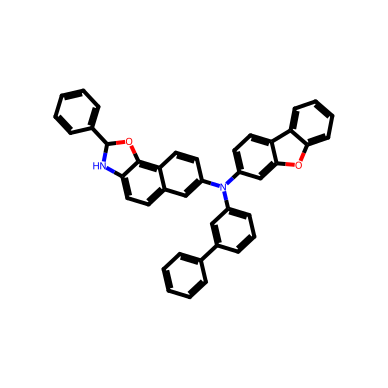 c1ccc(-c2cccc(N(c3ccc4c5c(ccc4c3)NC(c3ccccc3)O5)c3ccc4c(c3)oc3ccccc34)c2)cc1